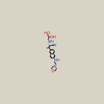 C/C(=C(/C#N)SNCC(O)CO)c1ccc2cc(NCCN3CCOCC3)ccc2c1